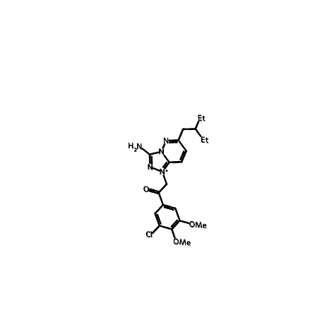 CCC(CC)Cc1ccc2n(n1)c(N)n[n+]2CC(=O)c1cc(Cl)c(OC)c(OC)c1